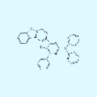 c1ccc(-c2nc(-n3c4ccccc4c4ccccc43)nc3c2oc2c3ccc3oc4ccccc4c32)cc1